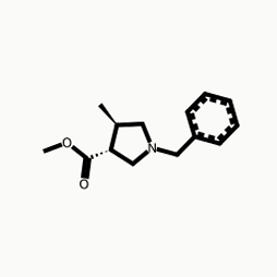 COC(=O)[C@H]1CN(Cc2ccccc2)C[C@@H]1C